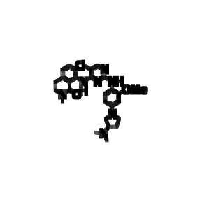 COc1cc(N2CC[C@@H](N(C)C)C2)ccc1Nc1ncc(Cl)c(Nc2cccc3c2C(=O)N(C)CC3)n1